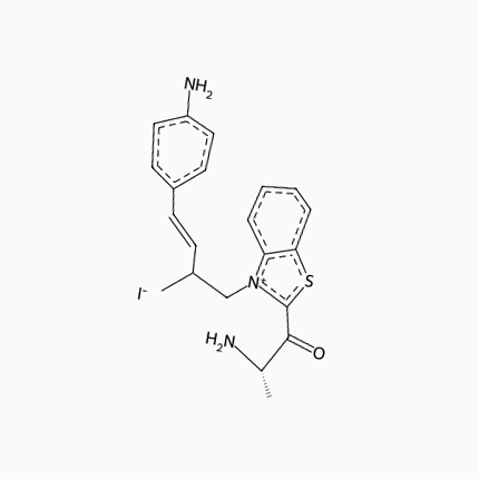 CC(/C=C/c1ccc(N)cc1)C[n+]1c(C(=O)[C@H](C)N)sc2ccccc21.[I-]